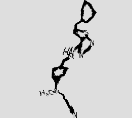 CN(CCC#N)c1ccc(C=NNc2ncnc3sc(Cc4ccccc4)cc23)cc1